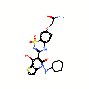 NC(=O)COc1ccc2c(c1)S(=O)(=O)N=C(c1c(O)c3sccc3n(NC3CCCCC3)c1=O)N2